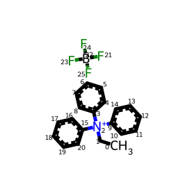 CC[N+](c1ccccc1)(c1ccccc1)c1ccccc1.F[B-](F)(F)F